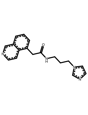 O=C(Cc1cccc2cnccc12)NCCCn1ccnc1